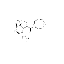 Cl.Cl.O=C(C1CSC23CC=CC=C2N=CCC13)N1CCCNCC1